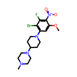 COc1cc(N2CCC(N3CCN(C)CC3)CC2)c(Br)c(F)c1[N+](=O)[O-]